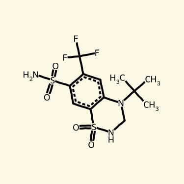 CC(C)(C)N1CNS(=O)(=O)c2cc(S(N)(=O)=O)c(C(F)(F)F)cc21